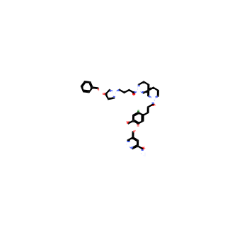 NC(=O)c1cncc(COc2cc(CCC(=O)N3CCCC4(CCCN(C(=O)CCCN5CCC(OCc6ccccc6)C5)C4)C3)c(Cl)cc2C=O)c1